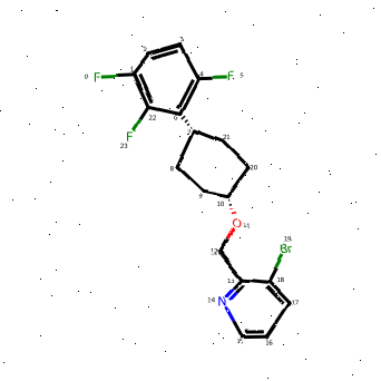 Fc1ccc(F)c([C@H]2CC[C@@H](OCc3ncccc3Br)CC2)c1F